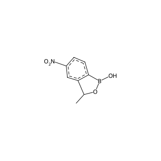 CC1OB(O)c2ccc([N+](=O)[O-])cc21